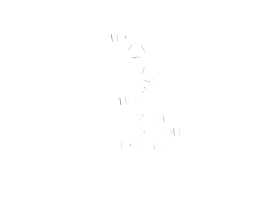 Cc1ccc(/C=C/C(=O)OC[C@@H](O)COC2OC(CO)C(O)C(O)C2O)cc1